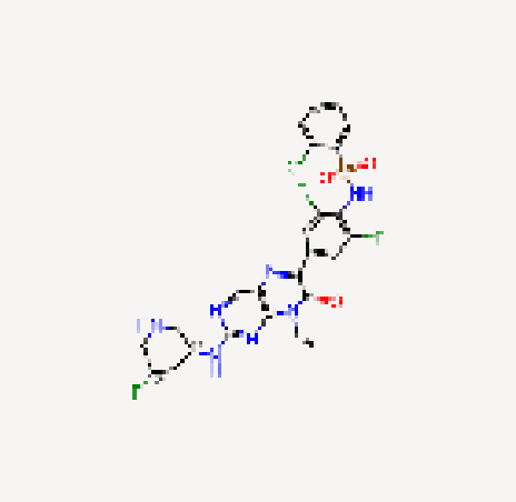 CC(C)n1c(=O)c(-c2cc(F)c(NS(=O)(=O)c3ccccc3Cl)c(F)c2)nc2cnc(N[C@@H]3CNC[C@@H](F)C3)nc21